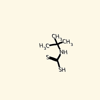 CC(C)(C)NC(=S)S